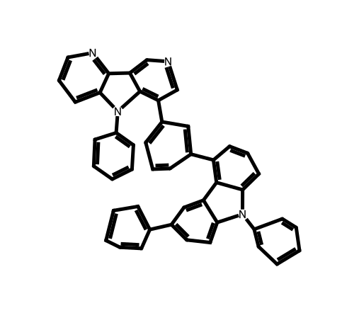 c1ccc(-c2ccc3c(c2)c2c(-c4cccc(-c5cncc6c7ncccc7n(-c7ccccc7)c56)c4)cccc2n3-c2ccccc2)cc1